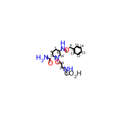 NC(=O)[C@@H]1CC[C@@H](NOCc2ccccc2)CN1OCCNC(=O)O